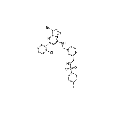 O=S(=O)(NCc1cccc(CNc2cc(-c3ccccc3Cl)nc3c(Br)cnn23)c1)C1=CC=C(F)CC1